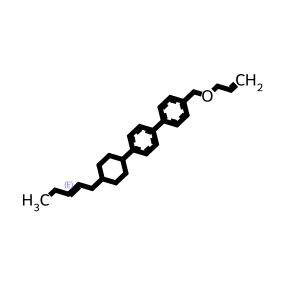 C=CCOCc1ccc(-c2ccc(C3CCC(C/C=C/CC)CC3)cc2)cc1